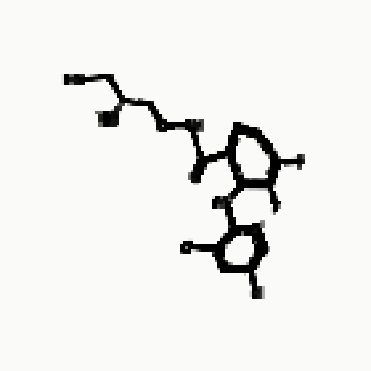 O=C(NOC[C@H](O)CO)c1ccc(F)c(F)c1Nc1ncc(Cl)cc1Cl